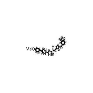 COc1ccc(-c2cnc(CCC(=O)NCC3CCN(Cc4ccc5c(c4)OCO5)C3)nc2)cc1.Cl